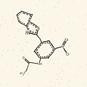 CC(=O)Nc1cc(-c2nc3ccccc3[nH]2)cc([N+](=O)[O-])c1